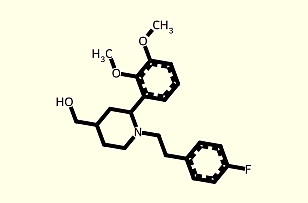 COc1cccc(C2CC(CO)CCN2CCc2ccc(F)cc2)c1OC